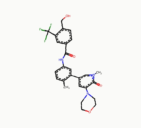 Cc1ccc(NC(=O)c2ccc(CO)c(C(F)(F)F)c2)cc1-c1cc(N2CCOCC2)c(=O)n(C)c1